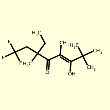 CCC(C)(CC(F)(F)F)C(=O)/C(C)=C(\O)C(C)(C)C